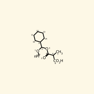 CCCOC(OC(=O)C(C)C(=O)O)C1CCCCC1